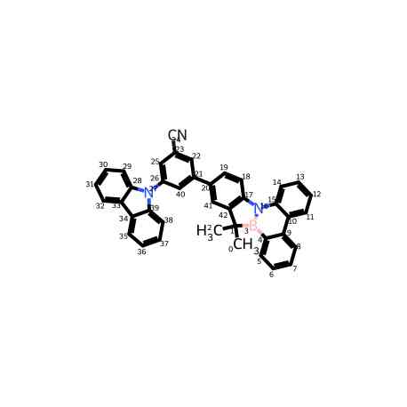 CC1(C)B2c3ccccc3-c3ccccc3N2c2ccc(-c3cc(C#N)cc(-n4c5ccccc5c5ccccc54)c3)cc21